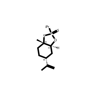 C=C(C)[C@@H]1CC[C@]2(C)SP(=S)(C(C)C)O[C@H]2C1